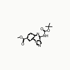 COC(=O)c1ccc2nc(NC(=O)OC(C)(C)C)c3cncn3c2c1